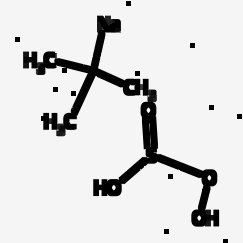 C[C](C)(C)[Na].O=S(O)OO